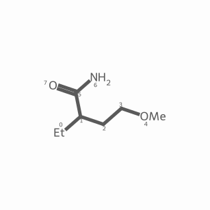 [CH2]CC(CCOC)C(N)=O